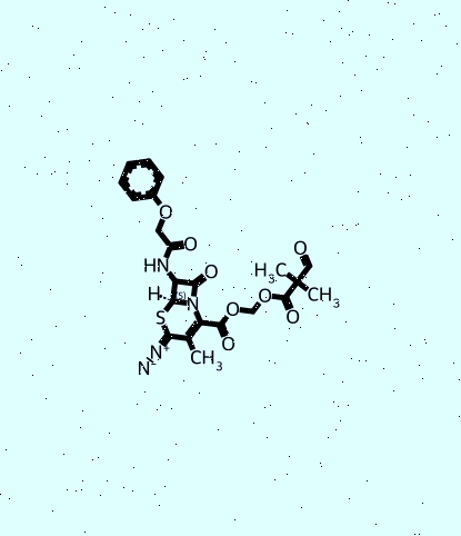 CC1=C(C(=O)OCOC(=O)C(C)(C)C=O)N2C(=O)C(NC(=O)COc3ccccc3)[C@@H]2SC1=[N+]=[N-]